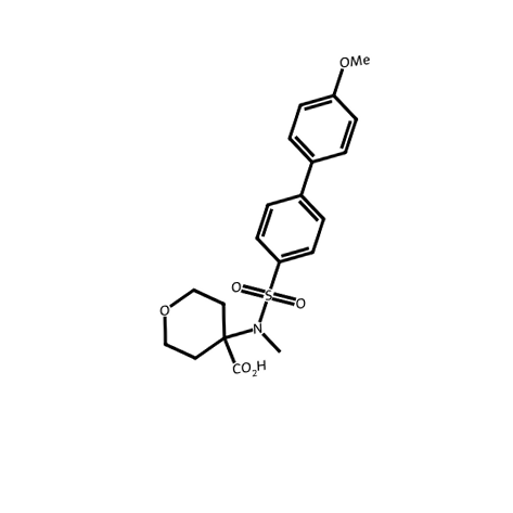 COc1ccc(-c2ccc(S(=O)(=O)N(C)C3(C(=O)O)CCOCC3)cc2)cc1